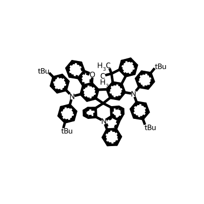 CC(C)(C)c1ccc(N(c2ccc(C(C)(C)C)cc2)c2cc3c(c4c2-c2ccccc2C4(C)C)-c2c(cc(N(c4ccc(C(C)(C)C)cc4)c4ccc(C(C)(C)C)cc4)c4c2oc2ccccc24)C32c3ccccc3-n3c4ccccc4c4cccc2c43)cc1